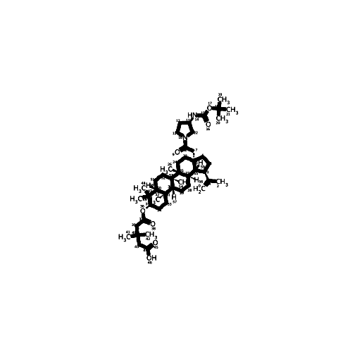 C=C(C)[C@@H]1CC[C@]2(CC(=O)N3CC[C@@H](NC(=O)OC(C)(C)C)C3)CC[C@]3(C)[C@H](CC[C@@H]4[C@@]5(C)CC[C@H](OC(=O)CC(C)(C)CC(=O)O)C(C)(C)[C@@H]5CC[C@]43C)[C@@H]12